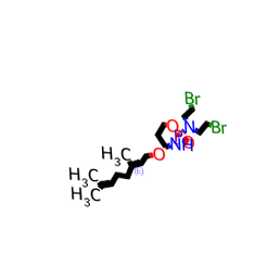 CC(C)=CCC/C(C)=C/COC1CCOP(=O)(N(CCBr)CCBr)N1